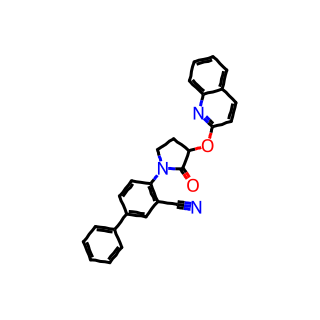 N#Cc1cc(-c2ccccc2)ccc1N1CCC(Oc2ccc3ccccc3n2)C1=O